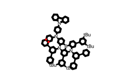 CC(C)(C)c1cc(-c2ccc3c(c2)N(c2cc(-c4ccccc4)cc(-c4ccccc4)c2)c2cc(-c4cc(C(C)(C)C)cc(C(C)(C)C)c4)cc4c2B3c2ccc(N(c3ccccc3)c3ccc(-n5c6ccccc6c6ccccc65)cc3)cc2N4c2cc(-c3ccccc3)cc(-c3ccccc3)c2)cc(C(C)(C)C)c1